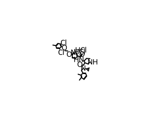 Cc1cc(Cl)c(OCCOc2ccc(C(=O)NC3CCNCC3C(=O)N(Cc3cccc(C)c3C)C3CC3)cn2)c(Cl)c1.Cl.Cl